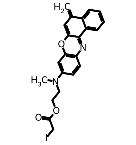 C=c1cc2c(c3ccccc13)=Nc1ccc(N(C)CCOC(=O)CI)cc1O2